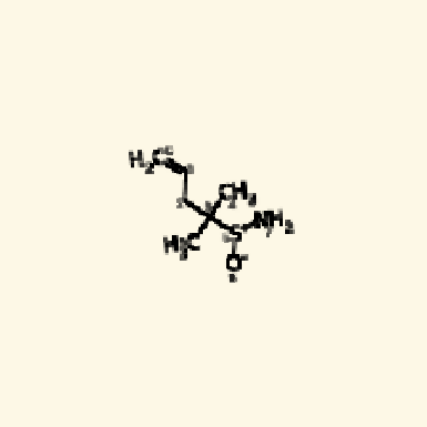 C=CCC(C)(C)[S+](N)[O-]